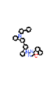 c1ccc(-c2cccc(-n3c4ccccc4c4cc(-c5ccc6c(c5)c5ccccc5n6-c5ncc6c(n5)-c5cccc7cccc(c57)O6)ccc43)c2)cc1